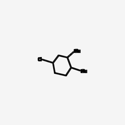 CC(C)(C)C1CCC(Cl)CC1C(C)(C)C